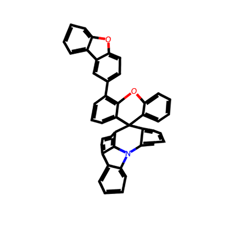 c1ccc2c(c1)Oc1c(-c3ccc4oc5ccccc5c4c3)cccc1C21c2ccccc2-n2c3ccccc3c3cccc1c32